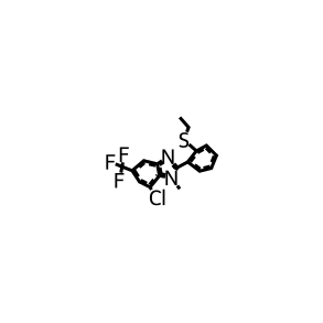 CCSc1ccccc1-c1nc2cc(C(F)(F)F)cc(Cl)c2n1C